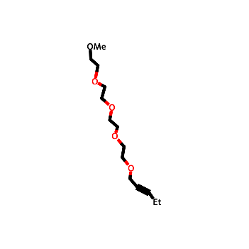 CCC#CCOCCOCCOCCOCCOC